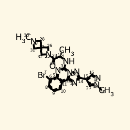 C[C@@H](Nc1nc2c(Br)cccc2c2nc(-c3cnn(C)c3)nn12)C(=O)N1CC2(CN(C)C2)C1